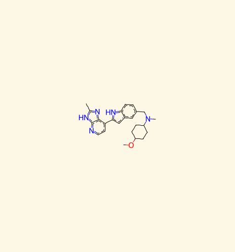 COC1CCC(N(C)Cc2ccc3[nH]c(-c4ccnc5[nH]c(C)nc45)cc3c2)CC1